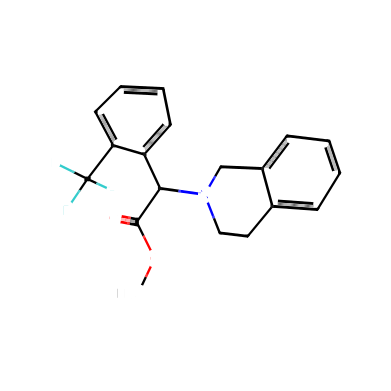 COC(=O)C(c1ccccc1C(F)(F)F)N1CCc2ccccc2C1